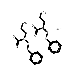 CCCN(SSc1ccccc1)C(=O)[O-].CCCN(SSc1ccccc1)C(=O)[O-].[Cu+2]